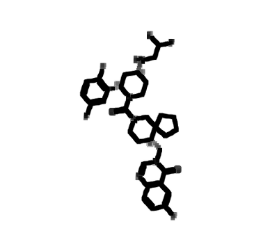 O=C(N1CC[C@@H](Cn2cnc3ccc(F)cc3c2=O)C2(CCCC2)C1)N1CC[C@@H](NCC(F)F)C[C@H]1c1cc(F)ccc1F